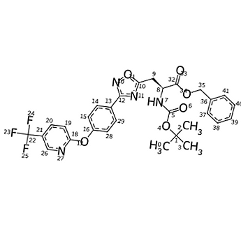 CC(C)(C)OC(=O)N[C@@H](Cc1nc(-c2ccc(Oc3ccc(C(F)(F)F)cn3)cc2)no1)C(=O)OCc1ccccc1